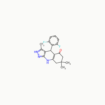 CC1(C)CC(=O)C2=C(C1)Nc1n[nH]c(C(F)(F)F)c1C2c1c(F)cccc1F